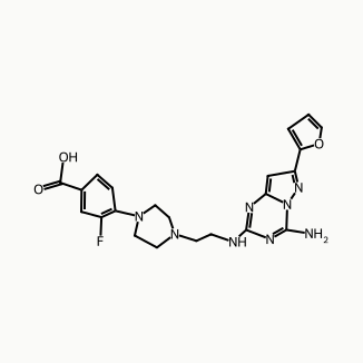 Nc1nc(NCCN2CCN(c3ccc(C(=O)O)cc3F)CC2)nc2cc(-c3ccco3)nn12